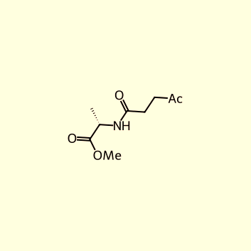 COC(=O)[C@H](C)NC(=O)CCC(C)=O